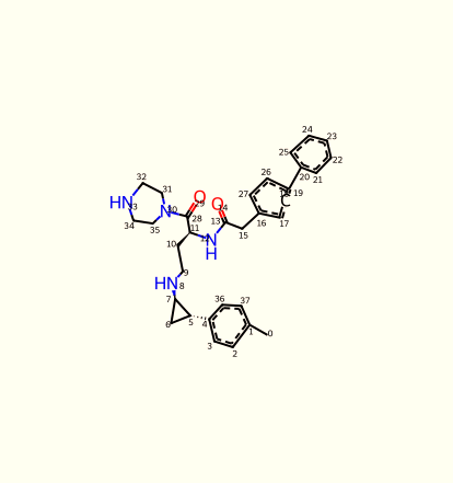 Cc1ccc([C@@H]2C[C@H]2NCC[C@H](NC(=O)Cc2ccc(-c3ccccc3)cc2)C(=O)N2CCNCC2)cc1